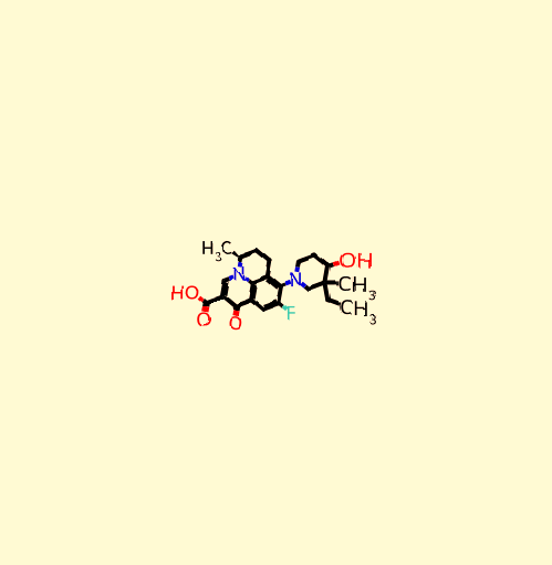 CCC1(C)CN(c2c(F)cc3c(=O)c(C(=O)O)cn4c3c2CC[C@@H]4C)CCC1O